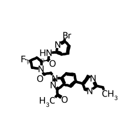 CCc1ncc(-c2ccc3c(c2)c(C(C)=O)nn3CC(=O)N2C[C@H](F)C[C@H]2C(=O)Nc2cccc(Br)n2)cn1